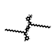 CCCCCCCCCCCCCCc1cc(C2=CC(C)=CCC2)sc1-c1cc2sc(-c3sc(C4=CC(C(F)(F)F)=CCC4)cc3CCCCCCCCCCCCCC)cc2s1